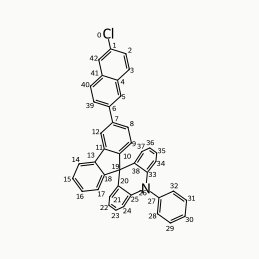 Clc1ccc2cc(-c3ccc4c(c3)-c3ccccc3C43c4ccccc4N(c4ccccc4)c4ccccc43)ccc2c1